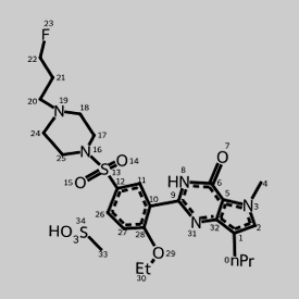 CCCc1cn(C)c2c(=O)[nH]c(-c3cc(S(=O)(=O)N4CCN(CCCF)CC4)ccc3OCC)nc12.CS(=O)(=O)O